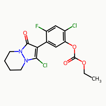 CCOC(=O)Oc1cc(-c2c(Cl)n3n(c2=O)CCCC3)c(F)cc1Cl